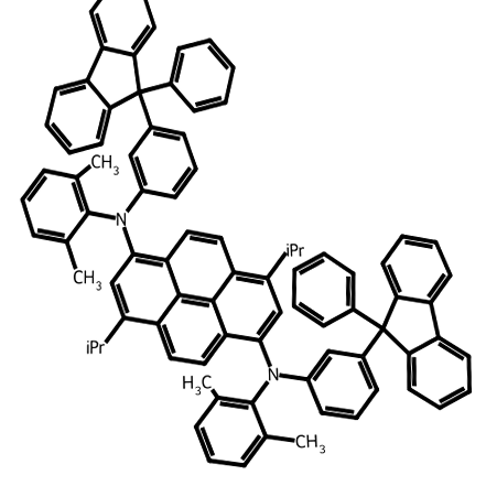 Cc1cccc(C)c1N(c1cccc(C2(c3ccccc3)c3ccccc3-c3ccccc32)c1)c1cc(C(C)C)c2ccc3c(N(c4cccc(C5(c6ccccc6)c6ccccc6-c6ccccc65)c4)c4c(C)cccc4C)cc(C(C)C)c4ccc1c2c43